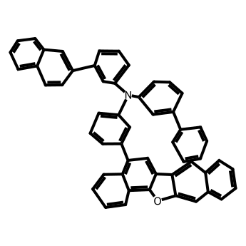 c1ccc(-c2cccc(N(c3cccc(-c4ccc5ccccc5c4)c3)c3cccc(-c4cc5c6cc7ccccc7cc6oc5c5ccccc45)c3)c2)cc1